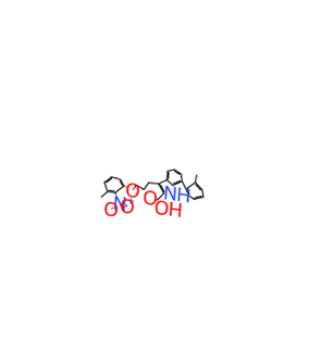 Cc1ccccc1-c1cccc2c(CCCOc3cccc(C)c3[N+](=O)[O-])c(C(=O)O)[nH]c12